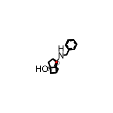 O[C@@]12CC3CC[C@H](NCc4ccccc4)C(CC31)C2